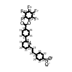 O=C(Oc1c(F)c(F)c(F)c(F)c1F)c1ccc(-c2cccc(/C=C/c3ccc([N+](=O)[O-])cc3)n2)cc1